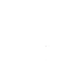 C1=Cc2ccccc21.CO[SiH](OC)OC